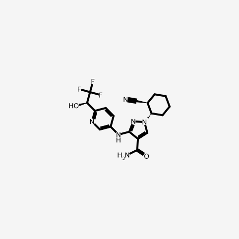 N#C[C@H]1CCCC[C@@H]1n1cc(C(N)=O)c(Nc2ccc([C@@H](O)C(F)(F)F)nc2)n1